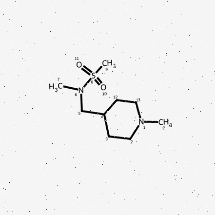 CN1CCC(CN(C)S(C)(=O)=O)CC1